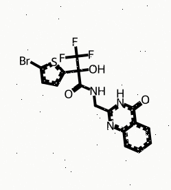 O=C(NCc1nc2ccccc2c(=O)[nH]1)C(O)(c1ccc(Br)s1)C(F)(F)F